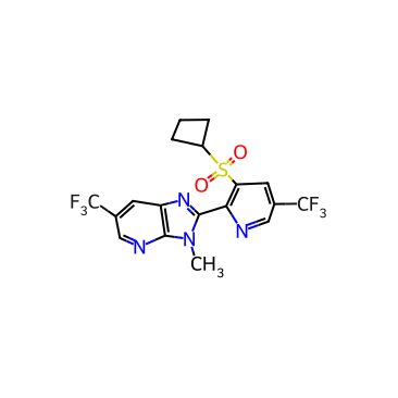 Cn1c(-c2ncc(C(F)(F)F)cc2S(=O)(=O)C2CCC2)nc2cc(C(F)(F)F)cnc21